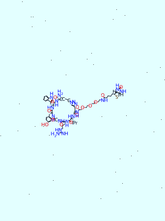 CC(C)C[C@H]1NC(=O)[C@@H](NC(=O)COCCOCCOCCNC(=O)CCCCC2SC[C@H]3NC(=O)N[C@@H]23)Cc2cn(nn2)CCCC[C@@H](C(N)=O)NC(=O)[C@@H](Cc2c[nH]c3ccccc23)NC(=O)[C@@H](Cc2ccc(O)cc2)NC(=O)CNC(=O)[C@@H](CCCNC(=N)N)NC1=O